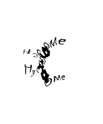 COc1ccc(C2=C(C)SC(C3SC(C)=C(c4ccc(OC)cc4)S3)S2)cc1